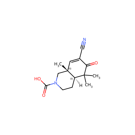 CC1(C)C(=O)C(C#N)=C[C@@]2(C)CN(C(=O)O)CC[C@H]12